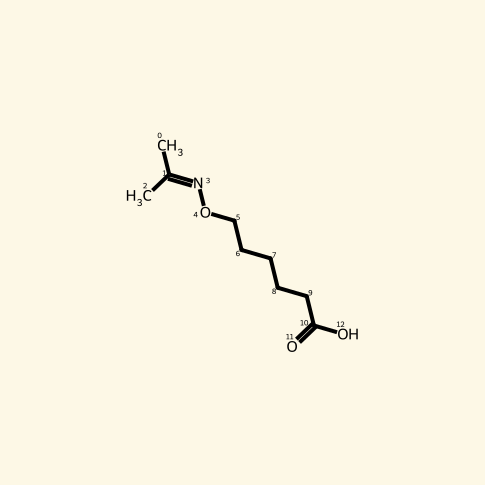 CC(C)=NOCCCCCC(=O)O